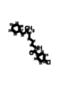 CN(CCCCNC(=O)c1ccc(Cl)cc1)Cc1ccccc1